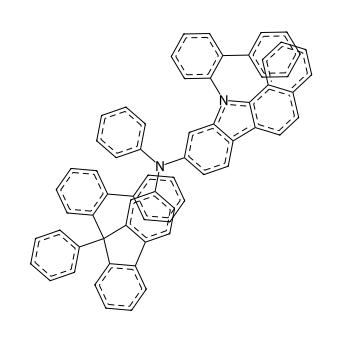 c1ccc(-c2ccccc2-n2c3cc(N(c4ccccc4)c4ccc5c(c4)C(c4ccccc4)(c4ccccc4-c4ccccc4)c4ccccc4-5)ccc3c3ccc4ccccc4c32)cc1